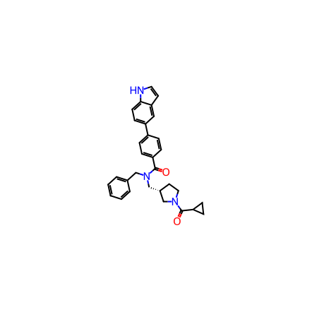 O=C(c1ccc(-c2ccc3[nH]ccc3c2)cc1)N(Cc1ccccc1)C[C@@H]1CCN(C(=O)C2CC2)C1